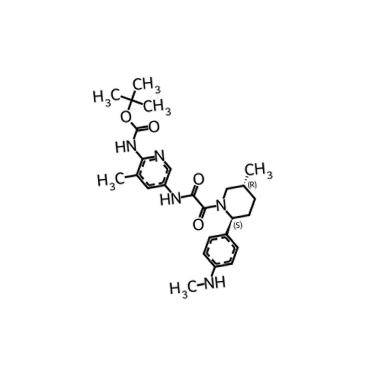 CNc1ccc([C@@H]2CC[C@@H](C)CN2C(=O)C(=O)Nc2cnc(NC(=O)OC(C)(C)C)c(C)c2)cc1